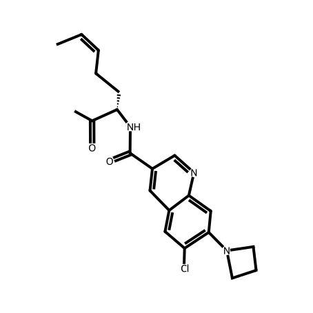 C/C=C\CC[C@H](NC(=O)c1cnc2cc(N3CCC3)c(Cl)cc2c1)C(C)=O